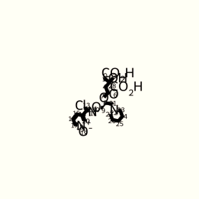 O=C(O)C[C@](O)(CC(=O)O[C@H](CON=C(Cl)c1ccc[n+]([O-])c1)CN1CCCCC1)C(=O)O